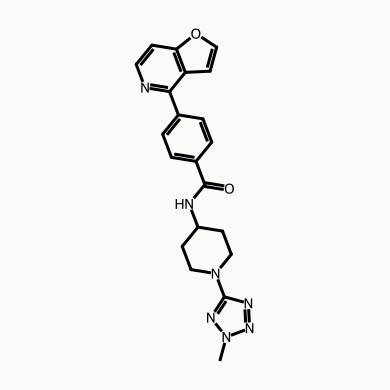 Cn1nnc(N2CCC(NC(=O)c3ccc(-c4nccc5occc45)cc3)CC2)n1